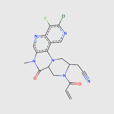 C=CC(=O)N1CC2C(=O)N(C)c3cnc4c(F)c(Cl)ncc4c3N2CC1CC#N